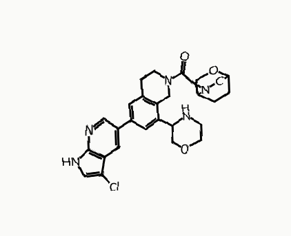 O=C(N1CCc2cc(-c3cnc4[nH]cc(Cl)c4c3)cc(C3COCCN3)c2C1)N1CC2CCC1CO2